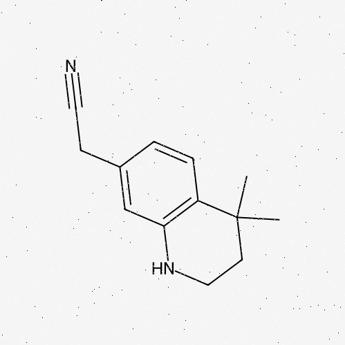 CC1(C)CCNc2cc(CC#N)ccc21